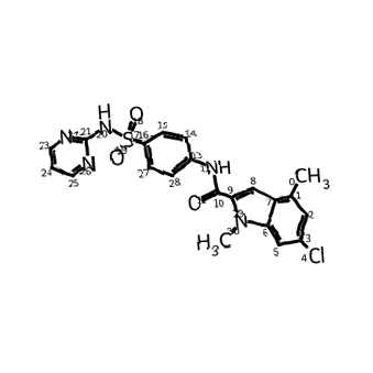 Cc1cc(Cl)cc2c1cc(C(=O)Nc1ccc(S(=O)(=O)Nc3ncccn3)cc1)n2C